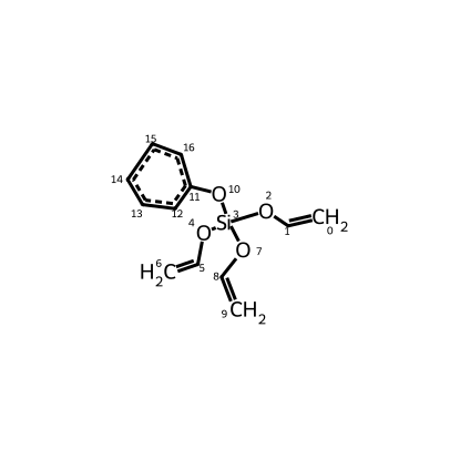 C=CO[Si](OC=C)(OC=C)Oc1ccccc1